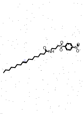 CCCCCCC/C=C/CCCCCCC(=O)NCCCS(=O)(=O)c1ccc([N+](=O)[O-])cc1